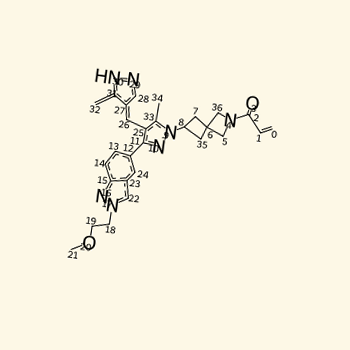 C=CC(=O)N1CC2(CC(n3nc(-c4ccc5nn(CCOC)cc5c4)c(/C=c4\cn[nH]c4=C)c3C)C2)C1